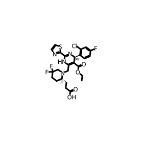 CCOC(=O)C1=C(CN2CC(F)(F)CC[C@H]2CCC(=O)O)NC(c2nccs2)=N[C@H]1c1ccc(F)cc1Cl